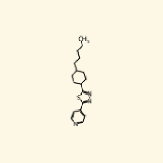 CCCCCC1CCC(c2nnc(-c3ccncc3)s2)CC1